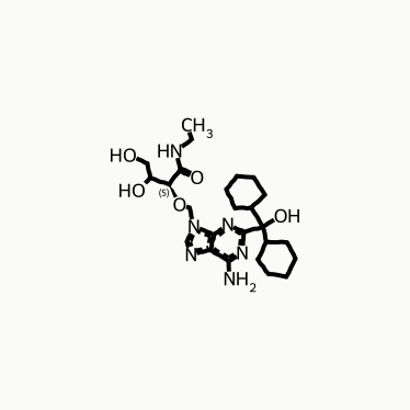 CCNC(=O)[C@@H](OCn1cnc2c(N)nc(C(O)(C3CCCCC3)C3CCCCC3)nc21)C(O)CO